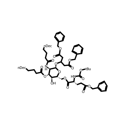 CCCCCCCCCCCCCC(=O)N[C@H]1[C@@H](OC(CC(=O)OCc2ccccc2)CC(=O)OCc2ccccc2)O[C@H](COC(=O)[C@@H](CCC(=O)OCc2ccccc2)NC(=O)OC(C)(C)C)[C@@H](O)[C@@H]1OC(=O)CCCCCCCCCCCCC